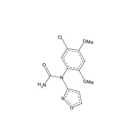 COc1cc(OC)c(N(C(N)=O)c2ccon2)cc1Cl